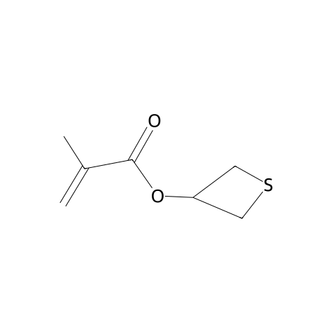 C=C(C)C(=O)OC1CSC1